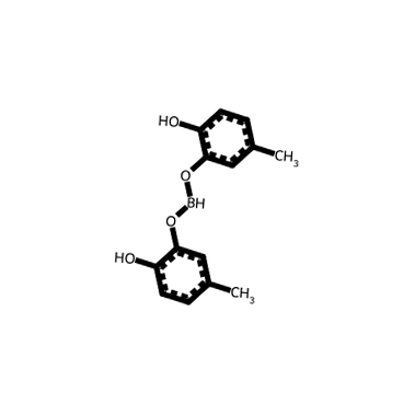 Cc1ccc(O)c(OBOc2cc(C)ccc2O)c1